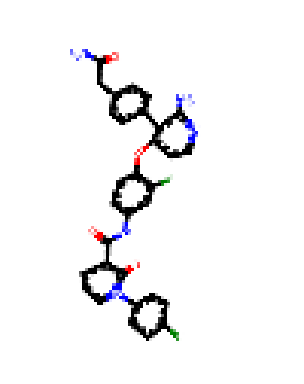 NC(=O)Cc1ccc(-c2c(Oc3ccc(NC(=O)c4cccn(-c5ccc(F)cc5)c4=O)cc3F)ccnc2N)cc1